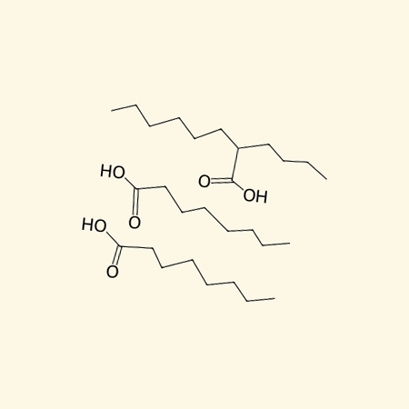 CCCCCCC(CCCC)C(=O)O.CCCCCCCC(=O)O.CCCCCCCC(=O)O